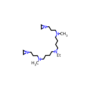 CCN(CCCCN(C)CCCN1CC1)CCCCN(C)CCCN1CC1